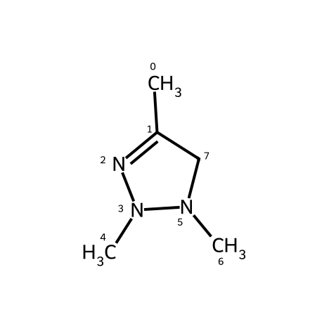 CC1=NN(C)N(C)C1